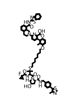 Cc1ncsc1-c1ccc(CNC(=O)[C@@H]2C[C@@H](O)CN2C(=O)C(NC(=O)C2(F)CC2)C(C)(C)SCCCCCCCCOc2cccc(-c3ccc(N4CCc5cccc(C(=O)Nc6nc7ccccc7s6)c5C4)nc3C(=O)O)c2C)cc1